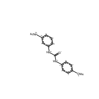 COc1ccc(NC(=O)Nc2cccc(NC(C)=O)c2)cc1